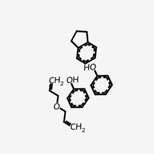 C=CCOCC=C.Oc1ccccc1.Oc1ccccc1.c1ccc2c(c1)CCC2